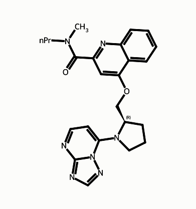 CCCN(C)C(=O)c1cc(OC[C@H]2CCCN2c2ccnc3ncnn23)c2ccccc2n1